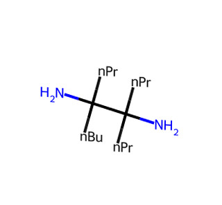 CCCCC(N)(CCC)C(N)(CCC)CCC